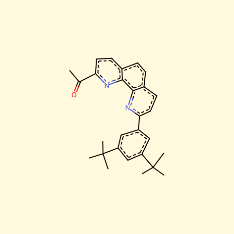 CC(=O)c1ccc2ccc3ccc(-c4cc(C(C)(C)C)cc(C(C)(C)C)c4)nc3c2n1